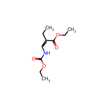 CCOC(=O)NC=C(CC)C(=O)OCC